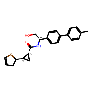 Cc1ccc(-c2ccc([C@H](CO)NC(=O)[C@@H]3C[C@H]3C3CC=CS3)cc2)cc1